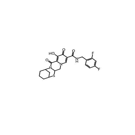 O=C(NCc1ccc(F)cc1F)c1cn2c(c(O)c1=O)C(=O)N1C3CCCC(C3)SC1C2